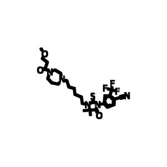 COCCC(=O)N1CCCN(CCCCCCN2C(=S)N(c3ccc(C#N)c(C(F)(F)F)c3)C(=O)C2(C)C)CC1